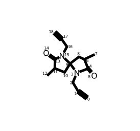 C#CCN1C(=O)C(C)CC12CC(C)C(=O)N2CC#C